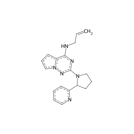 C=CCNc1nc(N2CCCC2c2ccccn2)nn2cccc12